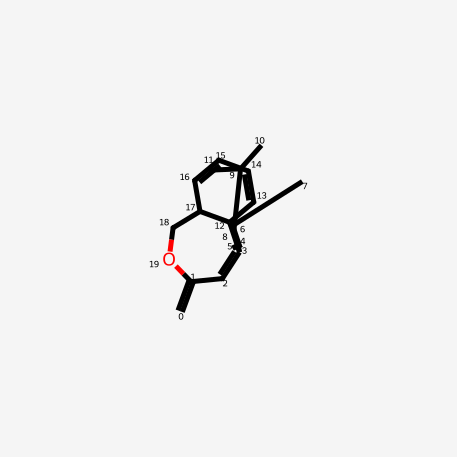 C=C1C=C2C=CC(C)C(C(C)C)C23C=CC=CC3CO1